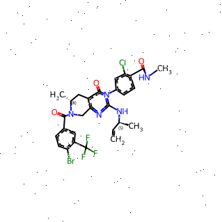 C=C[C@H](C)Nc1nc2c(c(=O)n1-c1ccc(C(=O)NC)c(Cl)c1)C[C@@H](C)N(C(=O)c1ccc(Br)c(C(F)(F)F)c1)C2